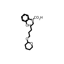 O=C(O)N(CCCCCOC1CCCCO1)c1ccccc1O